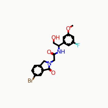 COc1cc(F)cc(C(CO)NC(=O)CN2Cc3ccc(Br)cc3C2=O)c1